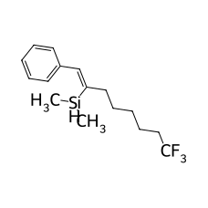 C[SiH](C)C(=Cc1ccccc1)CCCCCC(F)(F)F